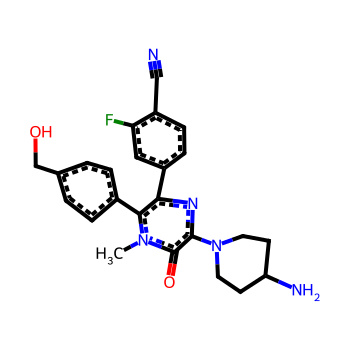 Cn1c(-c2ccc(CO)cc2)c(-c2ccc(C#N)c(F)c2)nc(N2CCC(N)CC2)c1=O